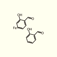 O=Cc1ccccc1O.O=Cc1ccccc1O.[Fe+2]